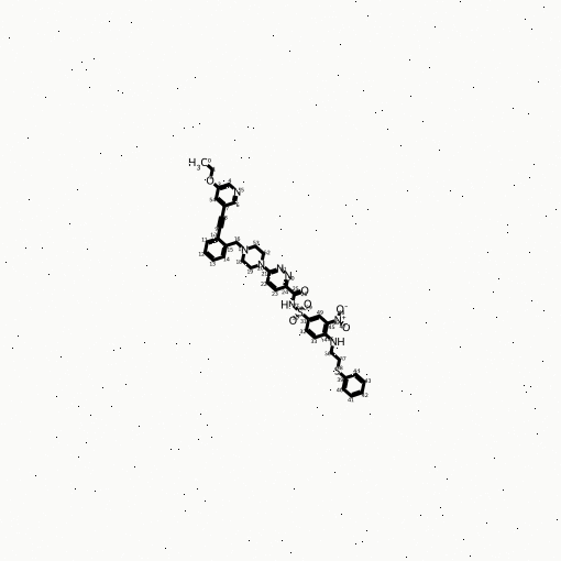 CCOc1cncc(C#Cc2ccccc2CN2CCN(c3ccc(C(=O)NS(=O)(=O)c4ccc(NCCSc5ccccc5)c([N+](=O)[O-])c4)nn3)CC2)c1